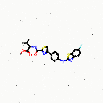 COC(=O)C(NC(=O)c1nc(-c2ccc(Nc3nc4ccc(F)cc4s3)cc2)cs1)C(C)C